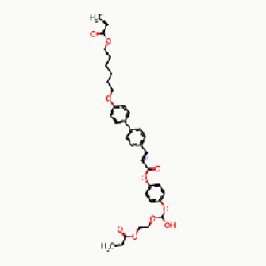 C=CC(=O)OCCCCCCOc1ccc(-c2ccc(/C=C/C(=O)Oc3ccc(OC(O)OCCOC(=O)C=C)cc3)cc2)cc1